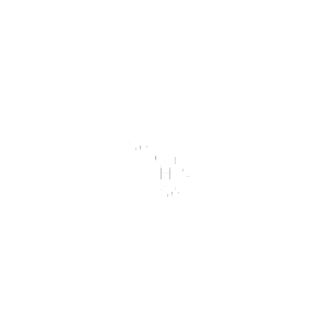 [Cu].[GaH3].[Se].[Se]